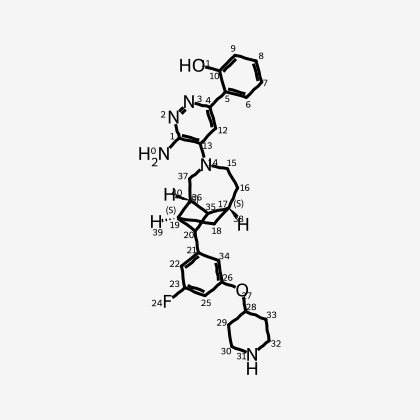 Nc1nnc(-c2ccccc2O)cc1N1CC[C@@H]2C[C@H]3C(c4cc(F)cc(OC5CCNCC5)c4)C2[C@H]3C1